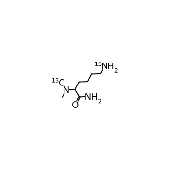 CN([13CH3])C(CCCC[15NH2])C(N)=O